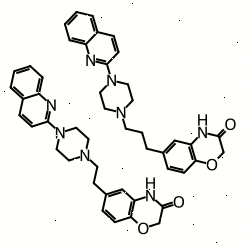 O=C1COc2ccc(CCCN3CCN(c4ccc5ccccc5n4)CC3)cc2N1.O=C1COc2ccc(CCN3CCN(c4ccc5ccccc5n4)CC3)cc2N1